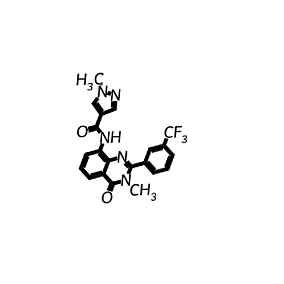 Cn1cc(C(=O)Nc2cccc3c(=O)n(C)c(-c4cccc(C(F)(F)F)c4)nc23)cn1